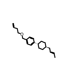 C=CCCOCc1ccc([C@H]2CC[C@H](CC=CC)CC2)cc1